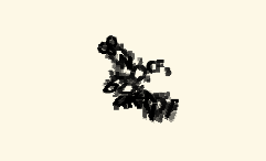 C[C@@]1(c2ccc(C(F)(F)F)cc2N2CCS(=O)(=O)CC2)CCOc2cc(S(=O)(=O)Nc3ncc(F)cn3)ccc21